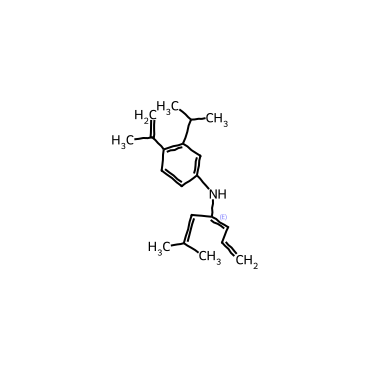 C=C/C=C(\C=C(C)C)Nc1ccc(C(=C)C)c(C(C)C)c1